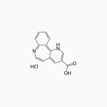 Cl.O=C(O)C1=CNC2=c3ccccc3=NC=CC2=C1